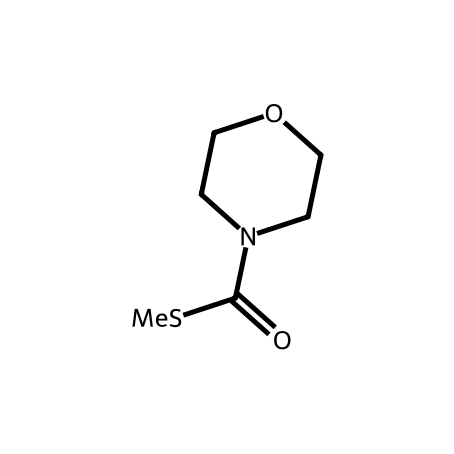 CSC(=O)N1CCOCC1